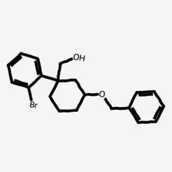 OCC1(c2ccccc2Br)CCCC(OCc2ccccc2)C1